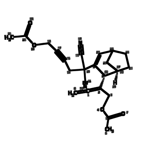 C=C=C(COC(C)=O)[C@@H]1C(C(C#N)(C#N)CC#CCOC(C)=O)=CC2CC[C@@H]1C2